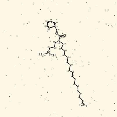 CCCCCCCCCCCCCCCCCCN(CCCN(C)C)C(=O)OCc1[c]cccc1